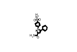 NC(=O)c1cc(C2=CCCC=C2)n(-c2ccc(S(N)(=O)=O)cc2)n1